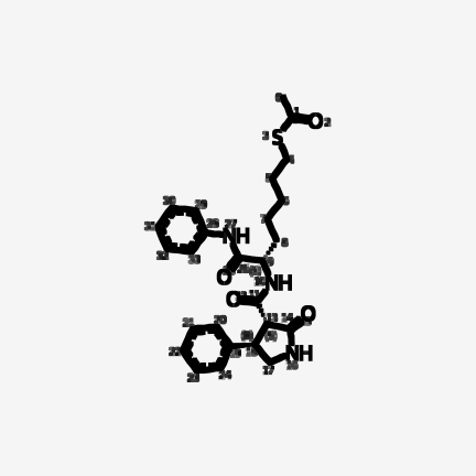 CC(=O)SCCCCC[C@H](NC(=O)[C@@H]1C(=O)NC[C@H]1c1ccccc1)C(=O)Nc1ccccc1